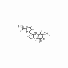 Cc1c(F)cc(OC2CCN(c3cccc(C(=O)O)c3)C2=O)c(F)c1F